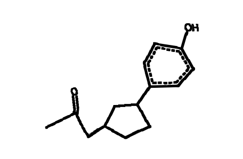 CC(=O)CC1CCC(c2ccc(O)cc2)C1